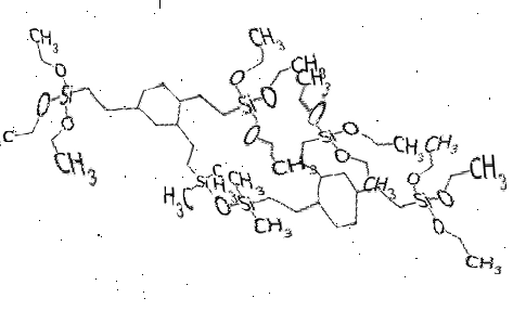 CCO[Si](CCC1CCC(CC[Si](OCC)(OCC)OCC)C(CC[Si](C)(C)O[Si](C)(C)CCC2CCC(CC[Si](OCC)(OCC)OCC)CC2CC[Si](OCC)(OCC)OCC)C1)(OCC)OCC